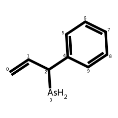 C=CC([AsH2])c1ccccc1